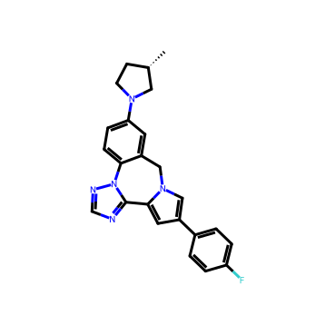 C[C@H]1CCN(c2ccc3c(c2)Cn2cc(-c4ccc(F)cc4)cc2-c2ncnn2-3)C1